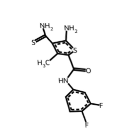 Cc1c(C(=O)Nc2ccc(F)c(F)c2)sc(N)c1C(N)=S